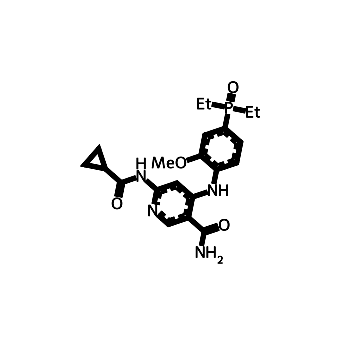 CCP(=O)(CC)c1ccc(Nc2cc(NC(=O)C3CC3)ncc2C(N)=O)c(OC)c1